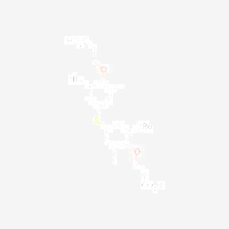 Cc1cc(Sc2cc(C)c(OCCC(=O)O)c(C(C)(C)C)c2)cc(C(C)(C)C)c1OCCC(=O)O